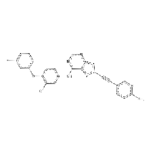 Nc1cnc(C#Cc2cc3ncnc(Nc4ccc(Oc5cccc(F)c5)c(Cl)c4)c3s2)cn1